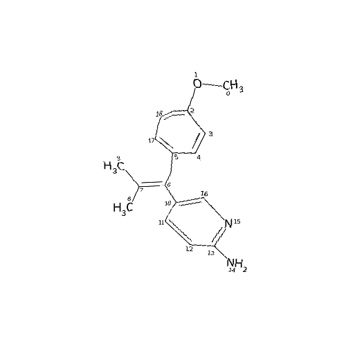 COc1ccc(C(=C(C)C)c2ccc(N)nc2)cc1